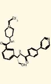 O=C(NC1CCN(CC(F)(F)F)CC1)c1cccc([C@@H](CO)NC(=O)c2ccc(-c3ccncc3)cc2)c1